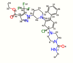 CCNC(=O)N1CCN(C2(Cl)C=CC(c3ccccc3)=C(N3CCCC(n4ncc(C(=O)OCC)c4C(F)(F)F)C3)C2)CC1